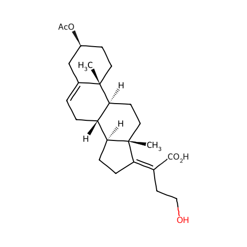 CC(=O)O[C@H]1CC[C@@]2(C)C(=CC[C@@H]3[C@@H]2CC[C@]2(C)/C(=C(/CCO)C(=O)O)CC[C@@H]32)C1